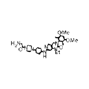 CCN1C(=O)N(c2c(C)c(OC)cc(OC)c2C)Cc2cnc(Nc3ccc(N4CCN(C(=O)CN)CC4)cc3)cc21